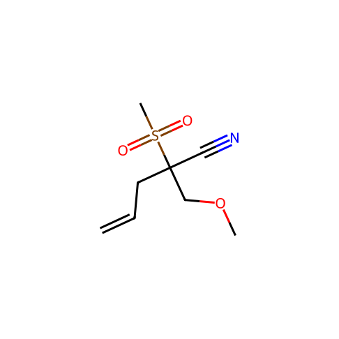 C=CCC(C#N)(COC)S(C)(=O)=O